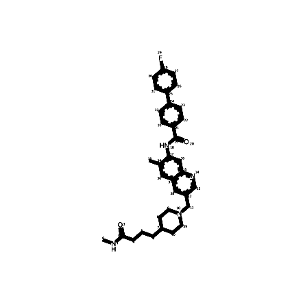 CNC(=O)CCCC1CCN(Cc2cnc3cc(NC(=O)c4ccc(-c5ccc(F)cc5)cc4)c(C)cc3c2)CC1